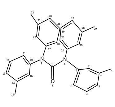 Cc1cccc(N(C(=O)N(c2cccc(C)c2)c2cccc(C)c2)c2cccc(C)c2)c1